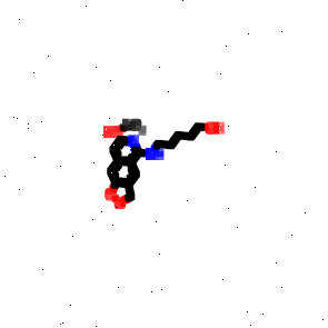 O=[N+]([O-])O.OCCCCCNc1nccc2cc3c(cc12)COO3